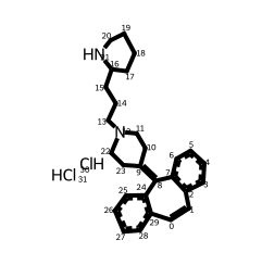 C1=Cc2ccccc2C(=C2CCN(CCCC3CCCCN3)CC2)c2ccccc21.Cl.Cl